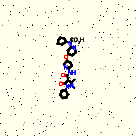 Cc1c(C(=O)Nc2ccc(Oc3ccnc(N(C(=O)O)c4ccccc4)c3)cn2)c(=O)n(-c2ccccc2)n1C